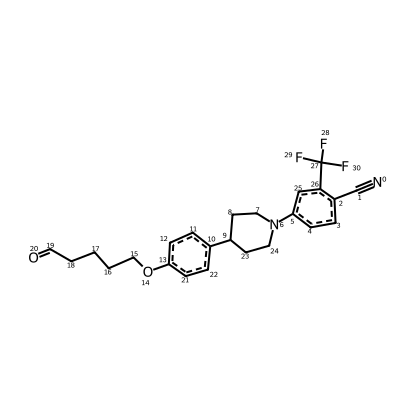 N#Cc1ccc(N2CCC(c3ccc(OCCCCC=O)cc3)CC2)cc1C(F)(F)F